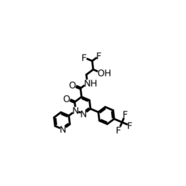 O=C(NCC(O)C(F)F)c1cc(-c2ccc(C(F)(F)F)cc2)nn(-c2cccnc2)c1=O